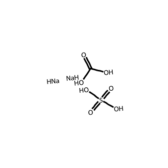 O=C(O)O.O=S(=O)(O)O.[NaH].[NaH]